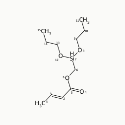 CC=CC(=O)OC[SiH](OCCC)OCCC